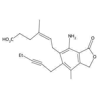 CCC#CCc1c(C)c2c(c(N)c1CC=C(C)CCC(=O)O)C(=O)OC2